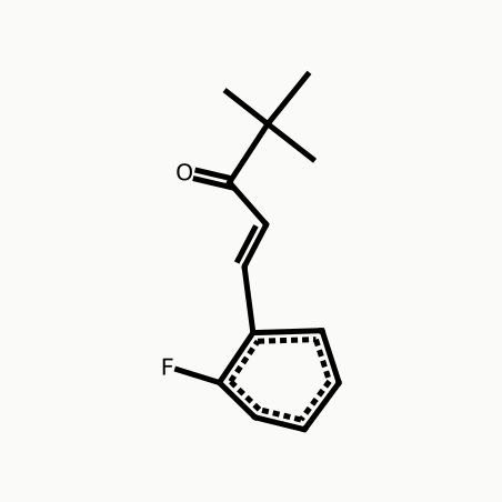 CC(C)(C)C(=O)/C=C/c1ccccc1F